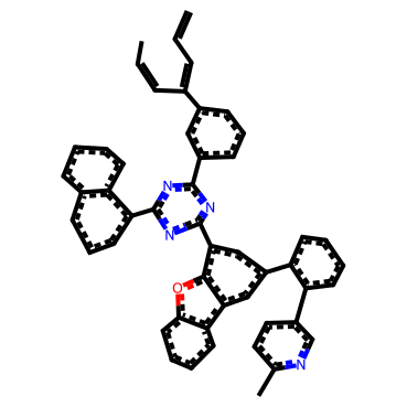 C=C/C=C(\C=C/C)c1cccc(-c2nc(-c3cccc4ccccc34)nc(-c3cc(-c4ccccc4-c4ccc(C)nc4)cc4c3oc3ccccc34)n2)c1